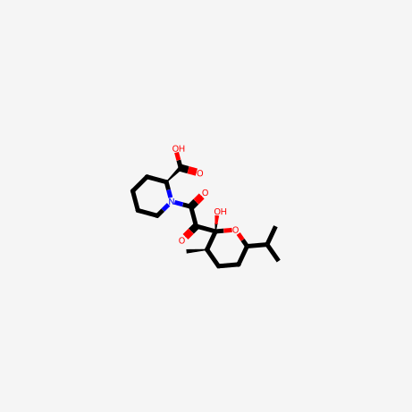 CC(C)C1CC[C@@H](C)[C@](O)(C(=O)C(=O)N2CCCC[C@H]2C(=O)O)O1